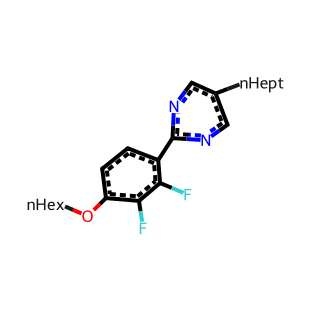 CCCCCCCc1cnc(-c2ccc(OCCCCCC)c(F)c2F)nc1